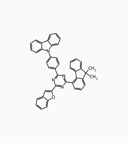 CC1(C)c2ccccc2-c2c(-c3nc(-c4ccc(-n5c6ccccc6c6ccccc65)cc4)nc(-c4cc5ccccc5o4)n3)cccc21